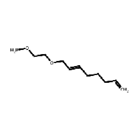 BOCCOCC=CCCCC=C